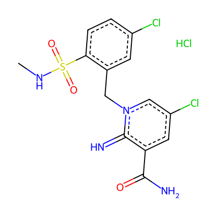 CNS(=O)(=O)c1ccc(Cl)cc1Cn1cc(Cl)cc(C(N)=O)c1=N.Cl